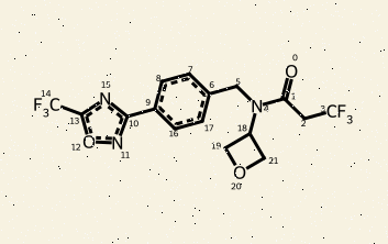 O=C(CC(F)(F)F)N(Cc1ccc(-c2noc(C(F)(F)F)n2)cc1)C1COC1